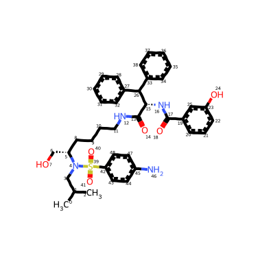 CC(C)CN([C@H](CO)CCCCNC(=O)[C@@H](NC(=O)c1cccc(O)c1)C(c1ccccc1)c1ccccc1)S(=O)(=O)c1ccc(N)cc1